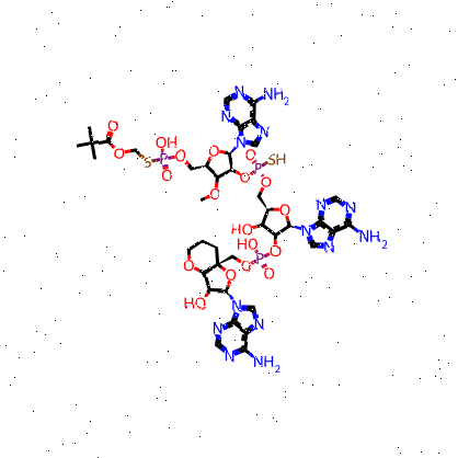 COC1C(OP(=O)(S)OC[C@H]2O[C@@H](n3cnc4c(N)ncnc43)C(OP(=O)(O)OC[C@]34CCCOC3C(O)[C@H](n3cnc5c(N)ncnc53)O4)C2O)[C@H](n2cnc3c(N)ncnc32)O[C@@H]1COP(=O)(O)SCOC(=O)C(C)(C)C